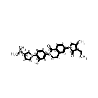 CCC1=C(C)CN(c2ccc3c(c2)CCN(c2ccc(N4CC[C@@H](N(C)C)C4)c(F)c2)C3=O)C1=O